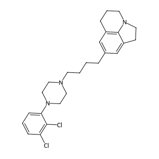 Clc1cccc(N2CCN(CCCCc3cc4c5c(c3)CCN5CCC4)CC2)c1Cl